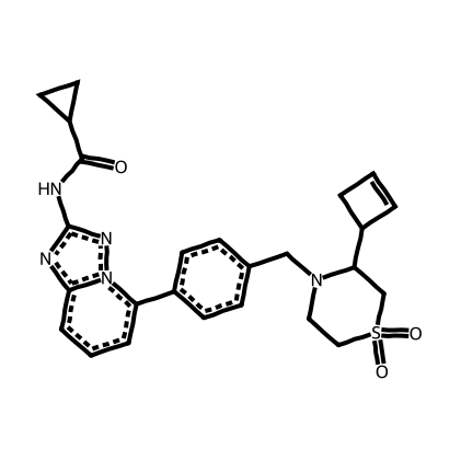 O=C(Nc1nc2cccc(-c3ccc(CN4CCS(=O)(=O)CC4C4C=CC4)cc3)n2n1)C1CC1